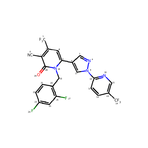 N#Cc1c(C(F)(F)F)cc(-c2cnn(-c3ccc(C(F)(F)F)cn3)c2)n(Cc2ccc(F)cc2F)c1=O